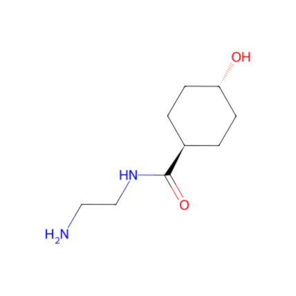 NCCNC(=O)[C@H]1CC[C@H](O)CC1